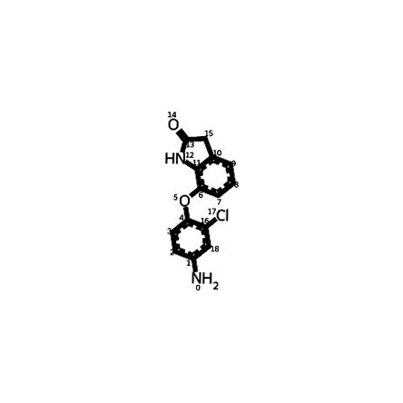 Nc1ccc(Oc2cccc3c2NC(=O)C3)c(Cl)c1